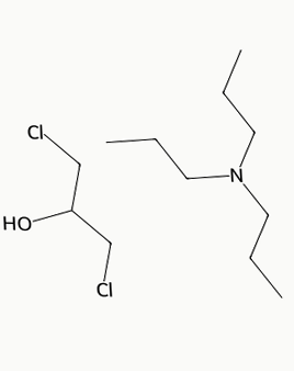 CCCN(CCC)CCC.OC(CCl)CCl